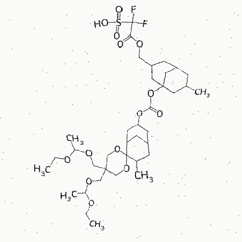 CCOC(C)OCC1(COC(C)OCC)COC2(OC1)C(C)CC1CC(OC(=O)OC34CC(C)CC(CC(COC(=O)C(F)(F)S(=O)(=O)O)C3)C4)CC2C1